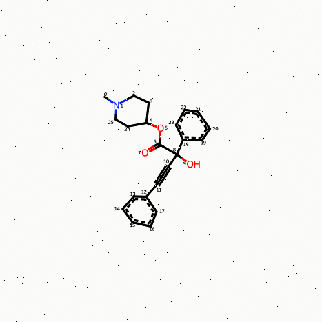 CN1CCC(OC(=O)C(O)(C#Cc2ccccc2)c2ccccc2)CC1